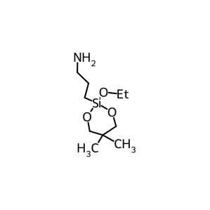 CCO[Si]1(CCCN)OCC(C)(C)CO1